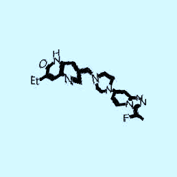 CCc1cc2ncc(CN3CCN(c4ccn5c(C(C)F)nnc5c4)CC3)cc2[nH]c1=O